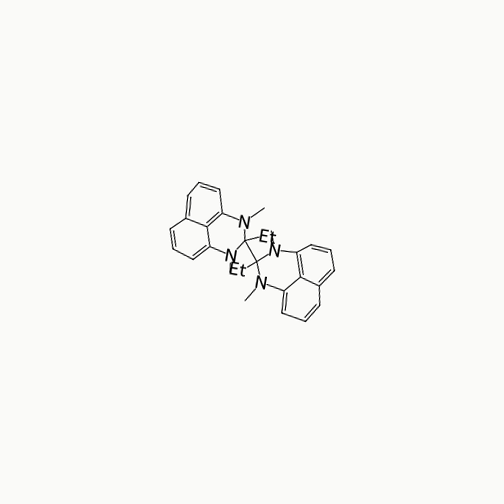 CCC1(C2(CC)N(C)c3cccc4cccc(c34)N2C)N(C)c2cccc3cccc(c23)N1C